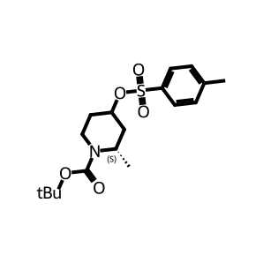 Cc1ccc(S(=O)(=O)OC2CCN(C(=O)OC(C)(C)C)[C@@H](C)C2)cc1